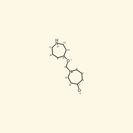 [O]C1CCCN(COC2CCCNCC2)CC1